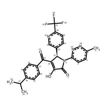 Cc1ccc(N2C(=O)C(O)=C(C(=O)c3ccc(C(C)C)cc3)[C@H]2c2ccc(C(F)(F)F)nc2)nn1